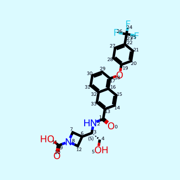 O=C(N[C@H](CO)C1CN(C(=O)O)C1)c1ccc2c(Oc3ccc(C(F)(F)F)cc3)cccc2c1